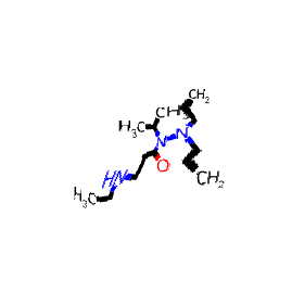 C=CCN(CC=C)N(C(=O)CCNCC)C(C)C